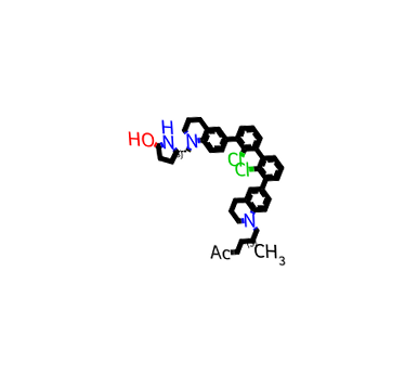 CC(=O)CC[C@H](C)CN1CCCc2cc(-c3cccc(-c4cccc(-c5ccc6c(c5)CCCN6C[C@@H]5CCC(O)N5)c4Cl)c3Cl)ccc21